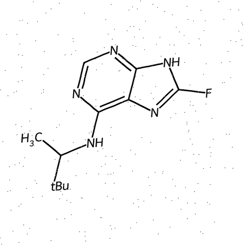 CC(Nc1ncnc2[nH]c(F)nc12)C(C)(C)C